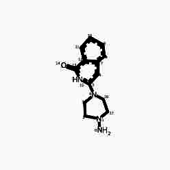 NN1CCN(c2cc3ccccc3c(=O)[nH]2)CC1